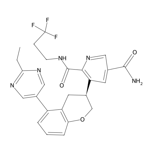 CCc1ncc(-c2cccc3c2C[C@@H](c2cc(C(N)=O)cnc2C(=O)NCCC(F)(F)F)CO3)cn1